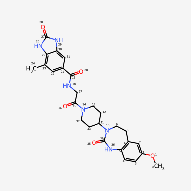 COc1ccc2c(c1)CCN(C1CCN(C(=O)CNC(=O)c3cc(C)c4[nH]c(=O)[nH]c4c3)CC1)C(=O)N2